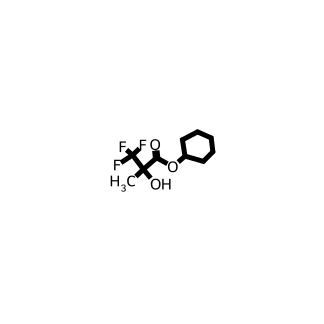 CC(O)(C(=O)OC1CCCCC1)C(F)(F)F